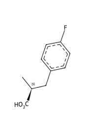 C[C@@H](Cc1ccc(F)cc1)C(=O)O